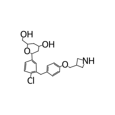 OCC1CC(O)CC(c2ccc(Cl)c(Cc3ccc(OCC4CNC4)cc3)c2)O1